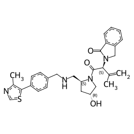 C=C(C)[C@@H](C(=O)N1C[C@H](O)C[C@H]1CNCc1ccc(-c2scnc2C)cc1)N1Cc2ccccc2C1=O